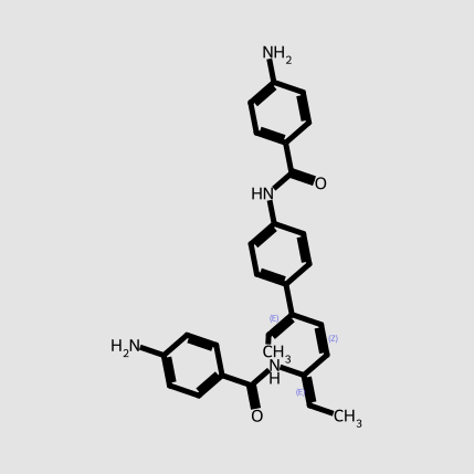 C\C=C(/C=C\C(=C/C)c1ccc(NC(=O)c2ccc(N)cc2)cc1)NC(=O)c1ccc(N)cc1